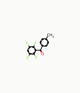 Cc1ccc(C(=O)c2c(F)c(F)cc(F)c2F)cc1